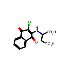 O=C(O)CC(NC1=C(Cl)C(=O)c2ccccc2C1=O)C(=O)O